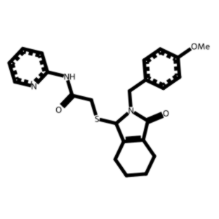 COc1ccc(CN2C(=O)C3=C(CCCC3)C2SCC(=O)Nc2ccccn2)cc1